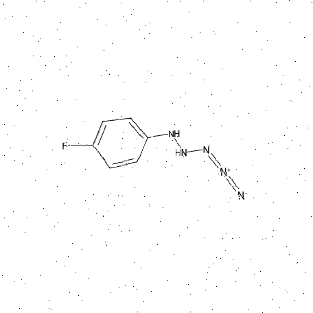 [N-]=[N+]=NNNc1ccc(F)cc1